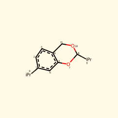 CC(C)c1ccc2c(c1)OC(C(C)C)OC2